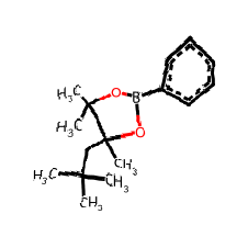 CC(C)(C)CC1(C)OB(c2ccccc2)OC1(C)C